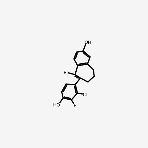 CCC1=C(c2ccc(O)c(F)c2Cl)CCCc2cc(O)ccc21